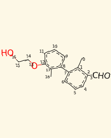 Cc1c(C=O)cccc1-c1cccc(OCCO)c1C